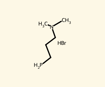 Br.CN(C)CCCP